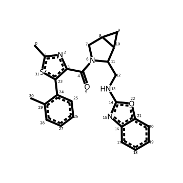 Cc1nc(C(=O)N2CC3CC3C2CNc2nc3ccccc3o2)c(-c2ccccc2C)s1